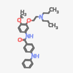 CCCN(CCC)CCOc1cc(NC(=O)c2ccc(Nc3ccccc3)cc2)ccc1OC